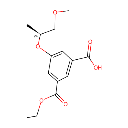 CCOC(=O)c1cc(O[C@@H](C)COC)cc(C(=O)O)c1